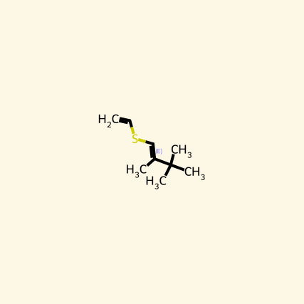 C=CS/C=C(\C)C(C)(C)C